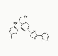 Cc1ccc(NC(CC(C)C)c2ccc(C3=NC(c4ccccc4)=NC3)cc2)cc1